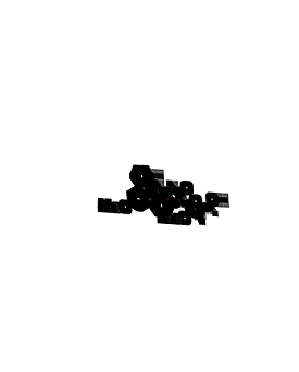 COc1ccc(C(Nc2ccn([C@@H]3O[C@H]([C@@H](C)O)[C@@H](C)[C@H]3OC)c(=O)n2)(c2ccccc2)c2ccccc2)cc1